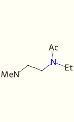 CCN(CCNC)C(C)=O